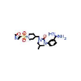 CC1CN(CC2CCN(S(=O)(=O)c3cnco3)CC2)C(=O)N(c2cccc(C(=N)N)c2)C1